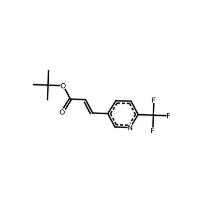 CC(C)(C)OC(=O)C=Cc1ccc(C(F)(F)F)nc1